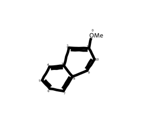 COc1[c]c2ccccc2cc1